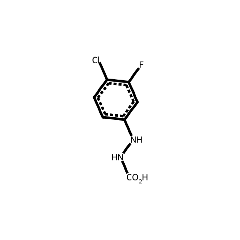 O=C(O)NNc1ccc(Cl)c(F)c1